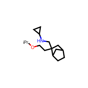 CC(C)OCCC1(CNC2CC2)CC2CCC1C2